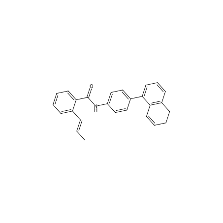 CC=Cc1ccccc1C(=O)Nc1ccc(-c2cccc3c2C=CCC3)cc1